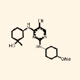 CO[C@H]1CC[C@H](Nc2ncc(C#N)c(N[C@@H]3CCCC(C)(O)C3)n2)CC1